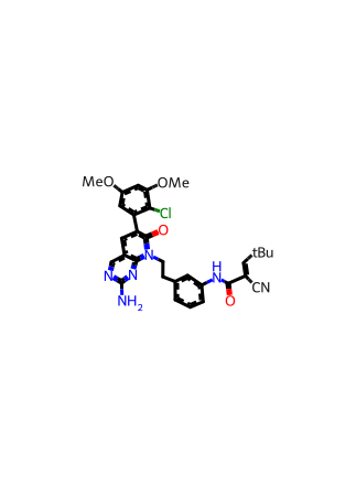 COc1cc(OC)c(Cl)c(-c2cc3cnc(N)nc3n(CCc3cccc(NC(=O)C(C#N)=CC(C)(C)C)c3)c2=O)c1